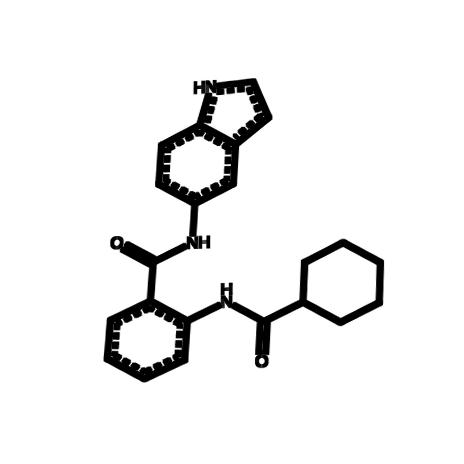 O=C(Nc1ccc2[nH]ccc2c1)c1ccccc1NC(=O)C1CCCCC1